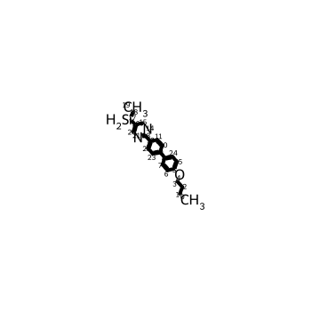 CCCCOc1ccc(-c2ccc(-c3ncc([SiH2]CC)cn3)cc2)cc1